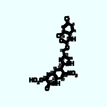 O=C(Nc1ccc(Cl)cc1Cl)OCc1c[nH]c(-c2cc3nc(C(=O)O)c(=O)[nH]c3cc2[N+](=O)[O-])n1